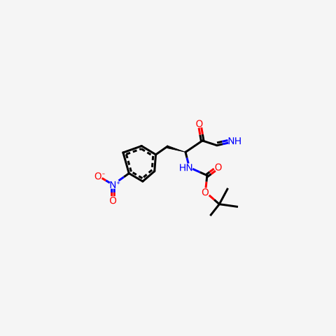 CC(C)(C)OC(=O)N[C@@H](Cc1ccc([N+](=O)[O-])cc1)C(=O)C=N